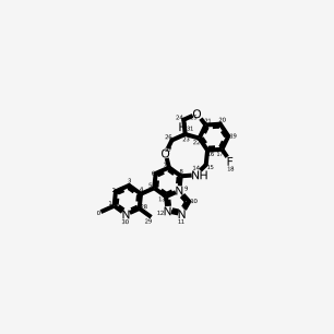 Cc1ccc(-c2cc3c(n4cnnc24)NCc2c(F)ccc4c2[C@H](CO4)CO3)c(C)n1